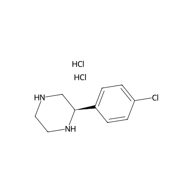 Cl.Cl.Clc1ccc([C@@H]2CNCCN2)cc1